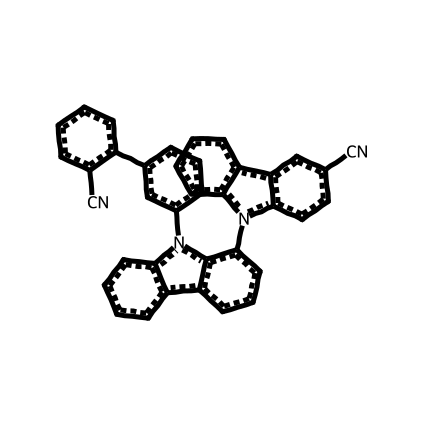 N#Cc1ccc2c(c1)c1ccccc1n2-c1cccc2c3ccccc3n(-c3cccc(-c4ccccc4C#N)c3)c12